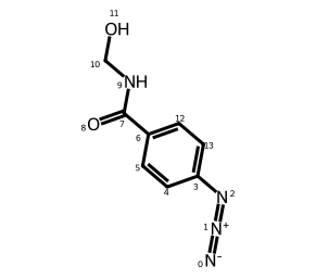 [N-]=[N+]=Nc1ccc(C(=O)NCO)cc1